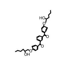 CCCCC(O)COc1ccc(C(=O)c2cccc(C(=O)c3ccc(OCC(O)CCCC)cc3)c2)cc1